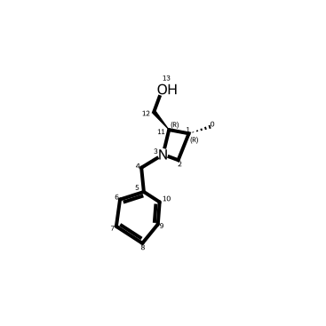 C[C@@H]1CN(Cc2ccccc2)[C@H]1CO